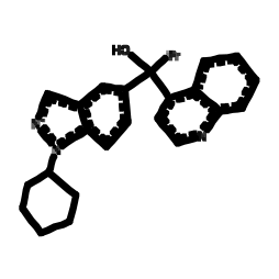 CC(C)C(O)(c1ccc2c(cnn2C2CCCCC2)c1)c1ccnc2ccccc12